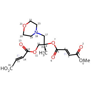 COC(=O)/C=C/C(=O)O[C@](C)(COC(=O)/C=C/C(=O)O)CN1CCOCC1